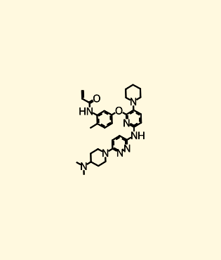 C=CC(=O)Nc1cc(Oc2nc(Nc3ccc(N4CCC(N(C)C)CC4)nn3)ccc2N2CCCCC2)ccc1C